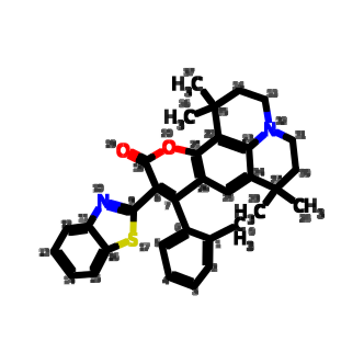 Cc1ccccc1-c1c(-c2nc3ccccc3s2)c(=O)oc2c3c4c(cc12)C(C)(C)CCN4CCC3(C)C